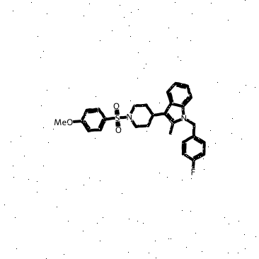 COc1ccc(S(=O)(=O)N2CCC(c3c(C)n(Cc4ccc(F)cc4)c4ccccc34)CC2)cc1